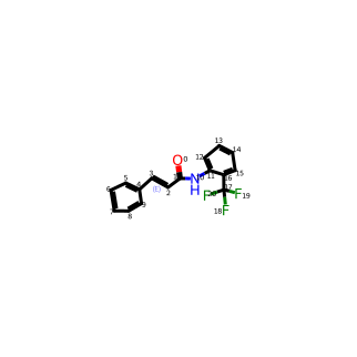 O=C(/C=C/c1ccccc1)Nc1ccccc1C(F)(F)F